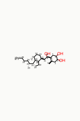 C=C1CC(O)[C@H](O)C/C1=C(\O)C=C1CCC[C@@]2(C)C1CC[C@@H]2[C@H](C)CCCC(C)C